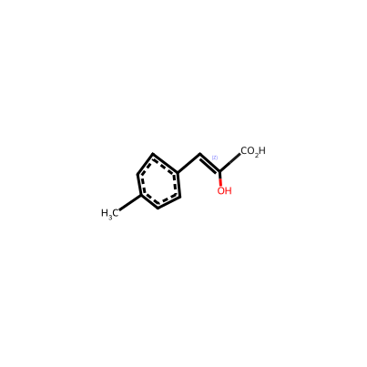 Cc1ccc(/C=C(\O)C(=O)O)cc1